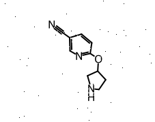 N#Cc1ccc(OC2CCNC2)nc1